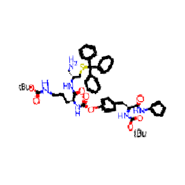 CC(C)(C)OC(=O)NCCC[C@H](NC(=O)Oc1ccc(C[C@H](NC(=O)OC(C)(C)C)C(=O)Nc2ccccc2)cc1)C(=O)N[C@H](CN)CSC(c1ccccc1)(c1ccccc1)c1ccccc1